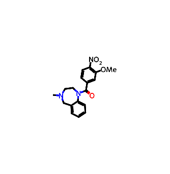 COc1cc(C(=O)N2CCN(C)Cc3ccccc32)ccc1[N+](=O)[O-]